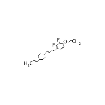 C=CCOc1ccc(CC/C=C/C2CCC(/C=C/C)CC2)c(F)c1F